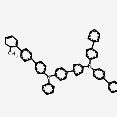 CC1CC=CC=C1c1ccc(-c2ccc(N(c3ccccc3)c3ccc(-c4ccc(N(c5ccc(-c6ccccc6)cc5)c5ccc(-c6ccccc6)cc5)cc4)cc3)cc2)cc1